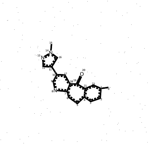 [CH2]c1ccc2ccc3ncc(-c4cnn(C)c4)cc3c(=O)c2c1